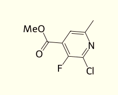 COC(=O)c1cc(C)nc(Cl)c1F